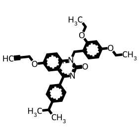 C#CCOc1ccc2c(c1)c(-c1ccc(C(C)C)cc1)nc(=O)n2Cc1ccc(OCC)cc1OCC